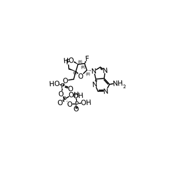 Nc1ncnc2c1ncn2[C@@H]1O[C@](CF)(COP(=O)(O)OP(=O)(O)OP(=O)(O)O)[C@@H](O)[C@H]1F